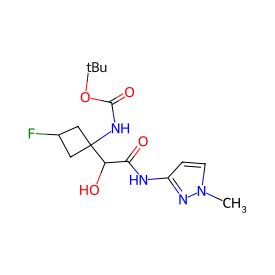 Cn1ccc(NC(=O)C(O)C2(NC(=O)OC(C)(C)C)CC(F)C2)n1